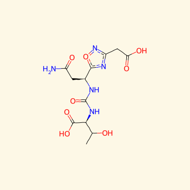 CC(O)[C@H](NC(=O)N[C@@H](CC(N)=O)c1nc(CC(=O)O)no1)C(=O)O